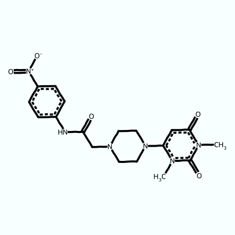 Cn1c(N2CCN(CC(=O)Nc3ccc([N+](=O)[O-])cc3)CC2)cc(=O)n(C)c1=O